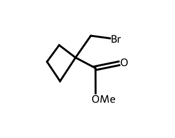 COC(=O)C1(CBr)CCC1